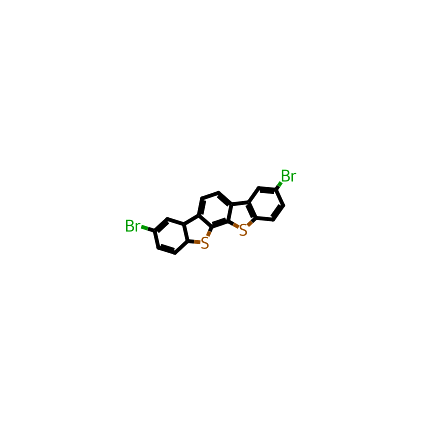 BrC1=CC2c3ccc4c(sc5ccc(Br)cc54)c3SC2C=C1